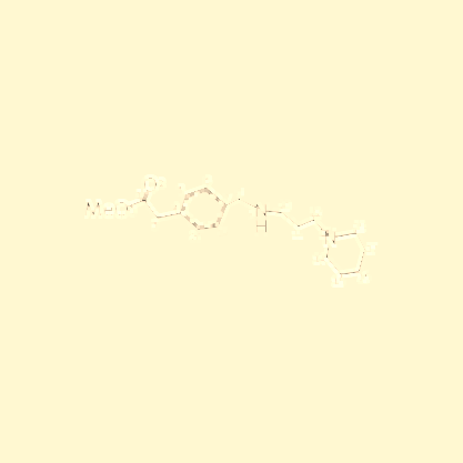 COC(=O)Cc1ccc(CNCCCN2CCCCC2)cc1